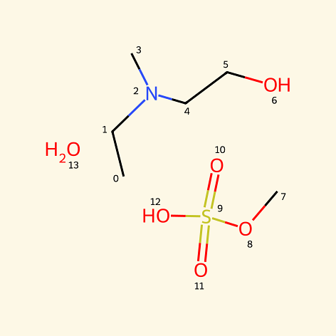 CCN(C)CCO.COS(=O)(=O)O.O